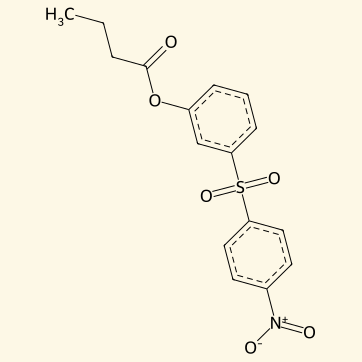 CCCC(=O)Oc1cccc(S(=O)(=O)c2ccc([N+](=O)[O-])cc2)c1